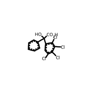 O=C(O)C(O)(c1ccccc1)c1cc(Cl)c(Cl)c(Cl)c1Cl